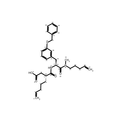 C=CCCC[C@H](CC(=O)O)C(=O)N[C@@H](Cc1cccc(SCc2ccccc2)c1)C(=O)N(C)CCCC=C